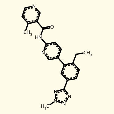 CCc1ccc(-c2nnn(C)n2)cc1-c1ccc(NC(=O)c2cnccc2C)nc1